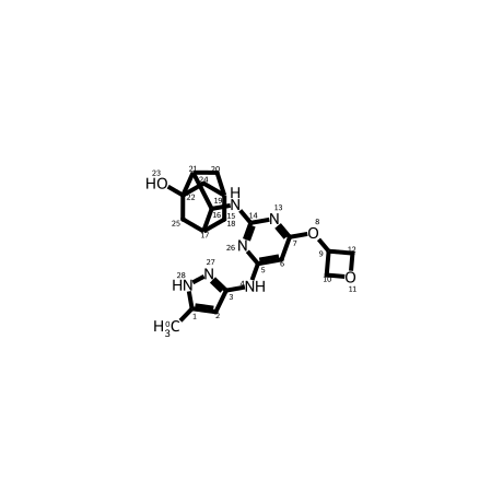 Cc1cc(Nc2cc(OC3COC3)nc(NC3C4CC5CC3C(O)(C5)C4)n2)n[nH]1